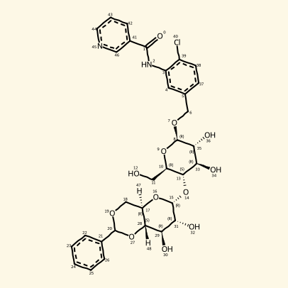 O=C(Nc1cc(CO[C@@H]2O[C@H](CO)[C@@H](O[C@H]3O[C@@H]4COC(c5ccccc5)O[C@H]4[C@H](O)[C@H]3O)[C@H](O)[C@H]2O)ccc1Cl)c1cccnc1